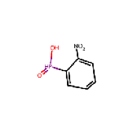 O=[N+]([O-])c1ccccc1[PH](=O)O